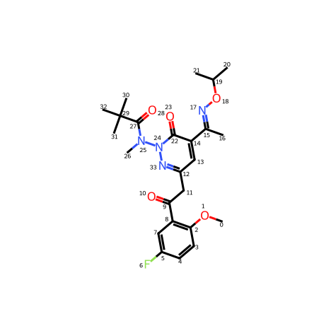 COc1ccc(F)cc1C(=O)Cc1cc(/C(C)=N/OC(C)C)c(=O)n(N(C)C(=O)C(C)(C)C)n1